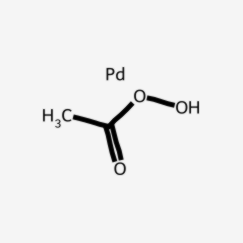 CC(=O)OO.[Pd]